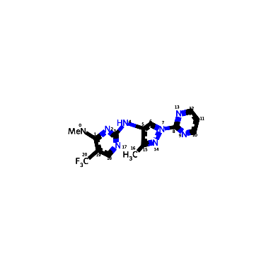 CNc1nc(Nc2cn(-c3ncccn3)nc2C)ncc1C(F)(F)F